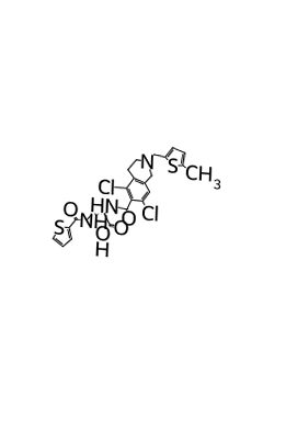 Cc1ccc(CN2CCc3c(cc(Cl)c(C(=O)N[C@@H](CNC(=O)c4cccs4)C(=O)O)c3Cl)C2)s1